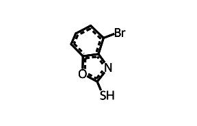 Sc1nc2c(Br)cccc2o1